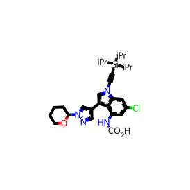 CC(C)[Si](C#Cn1cc(-c2cnn(C3CCCCO3)c2)c2c(NC(=O)O)cc(Cl)cc21)(C(C)C)C(C)C